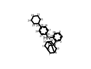 c1ccc(C23CC4CC(CC(C4)C2)C3)c(Nc2ccc(C3CCCCC3)cc2)c1